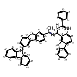 C/C(=N\C(NC(=N)c1ccccc1)c1cccc2c1sc1ccccc12)c1ccc2c(c1)oc1ccc(-n3c4ccccc4c4ccccc43)cc12